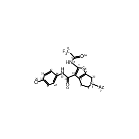 CC(=O)N1CCc2c(sc(NC(=O)C(F)(F)F)c2C(=O)Nc2ccc(Cl)cc2)C1